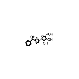 OC[C@H]1O[C@@H](n2cnc(C(O)c3ccccc3)n2)[C@@H](O)C1O